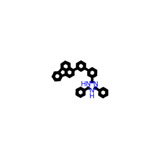 c1ccc(C2=NC(c3cccc(-c4cccc(-c5ccc6c7c(cccc57)-c5ccccc5-6)c4)c3)NC(c3ccccc3)N2)cc1